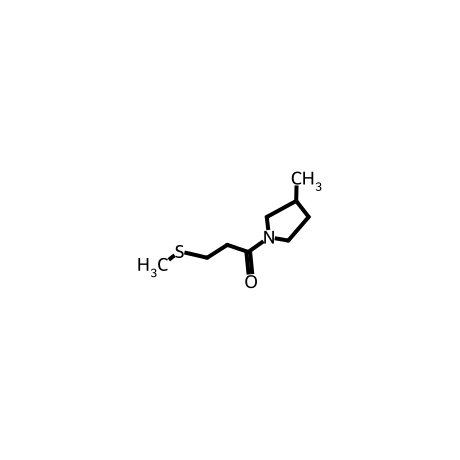 CSCCC(=O)N1CCC(C)C1